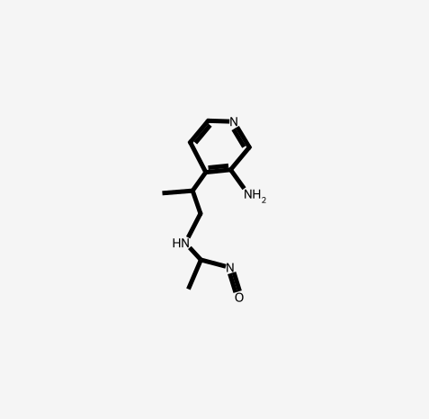 CC(N=O)NCC(C)c1ccncc1N